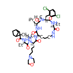 CC[C@H](NC(=O)C1(C(F)(F)F)CC2CCC1C2)C(=O)N[C@@H](CCCCN1CCOCC1)C(=O)N(C)[C@H]1CCCCNC(=O)[C@@H](CC)NC(=O)[C@H](Cc2cc(Cl)ccc2Cl)N(C)C(=O)[C@H](CC(C)C)NC1=O